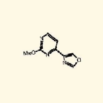 COc1nccc(-c2cocn2)n1